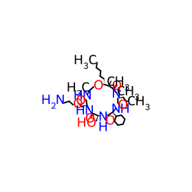 CCCCCC[C@H]1OC[C@@H](C)NC(=O)[C@H](COCCCN)NC(=O)[C@H](CO)NC(=O)[C@H](C2CCCCC2)NC(=O)[C@H](CCC)N(C)C(=O)[C@@H]1C